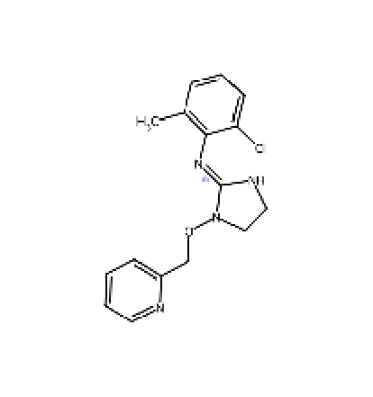 Cc1cccc(Cl)c1/N=C1\NCCN1OCc1ccccn1